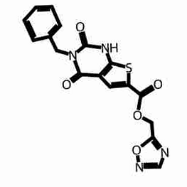 O=C(OCc1ncno1)c1cc2c(=O)n(Cc3ccccc3)c(=O)[nH]c2s1